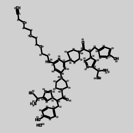 C#CCOCCOCCOCCNc1nc(N2CCN(C(=O)C(Cc3ccc(O)cc3)n3cc(C(N)C(C)CC)nn3)CC2)nc(N2CCN(C(=O)C(Cc3ccc(O)cc3)n3cc(C(N)C(C)CC)nn3)CC2)n1.Cl